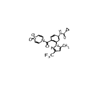 Cc1cc(C(F)(F)F)nn1-c1cc(NC(=O)C2CC2)ccc1C(=O)N1C=CS(=O)(=O)C=C1